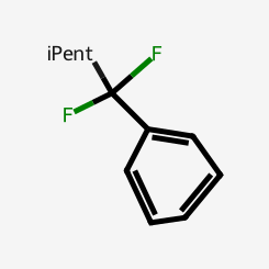 CCCC(C)C(F)(F)c1ccccc1